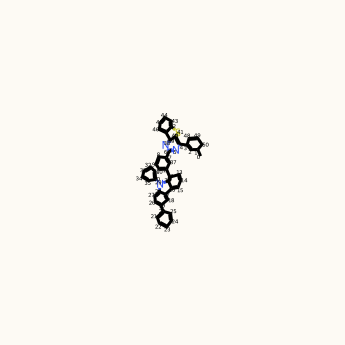 CC1C=C(c2nc(-c3cccc(-c4cccc5c6cc(-c7ccccc7)ccc6n(-c6ccccc6)c45)c3)nc3c2sc2ccccc23)C=CC1